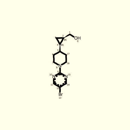 OC[C@@H]1C[C@@H]1C1CCN(c2ncc(Br)cn2)CC1